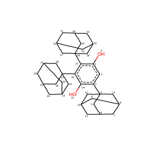 Oc1cc(C23CC4CC(CC(C4)C2)C3)c(O)c(C23CC4CC(CC(C4)C2)C3)c1C12CC3CC(CC(C3)C1)C2